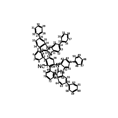 N#Cc1c(-c2ccccc2)c(-n2c3ccc(-c4ccccc4)cc3n3c4cc(-c5ccccc5)ccc4nc23)cc(-n2c3ccc(-c4ccccc4)cc3n3c4cc(-c5ccccc5)ccc4nc23)c1-c1ccccc1